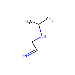 CC(C)NCC=N